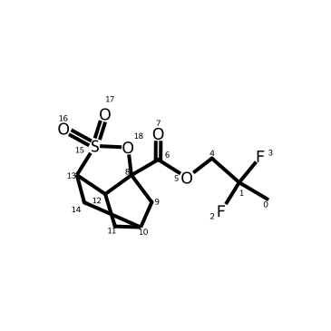 CC(F)(F)COC(=O)C12CC3CC1C(C3)S(=O)(=O)O2